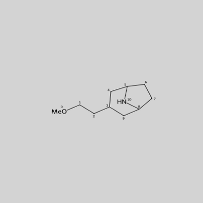 COCCC1CC2CCC(C1)N2